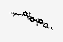 CN1CCN(c2ccc3nc(-c4ccc5nc(-c6cccc(OCCCC(=O)O)c6)[nH]c5c4)[nH]c3c2)CC1